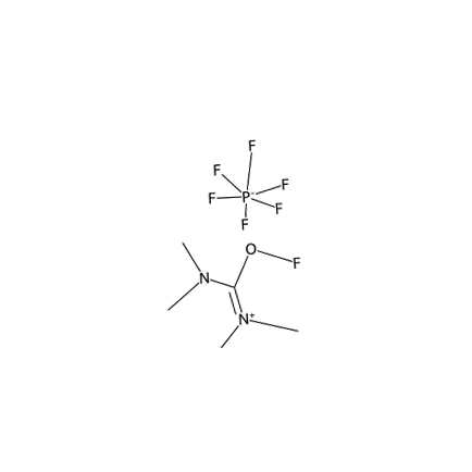 CN(C)C(OF)=[N+](C)C.F[P-](F)(F)(F)(F)F